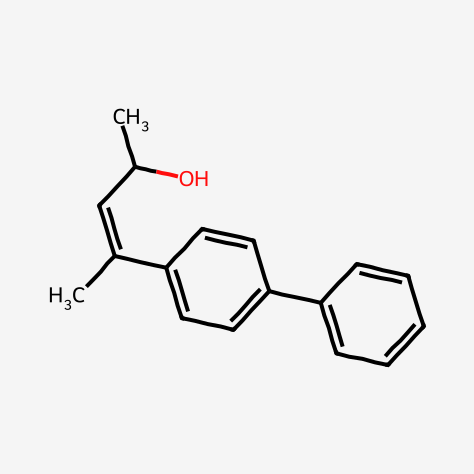 C/C(=C/C(C)O)c1ccc(-c2ccccc2)cc1